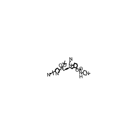 CN1CCC(NC(=O)Oc2cccc3c2cc(C#CCN(C(=O)OC(C)(C)C)c2ccc(C(C)(C)C#N)nc2)n3CC#N)CC1